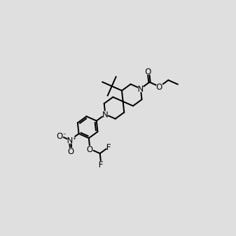 CCOC(=O)N1CCC2(CCN(c3ccc([N+](=O)[O-])c(OC(F)F)c3)CC2)C(C(C)(C)C)C1